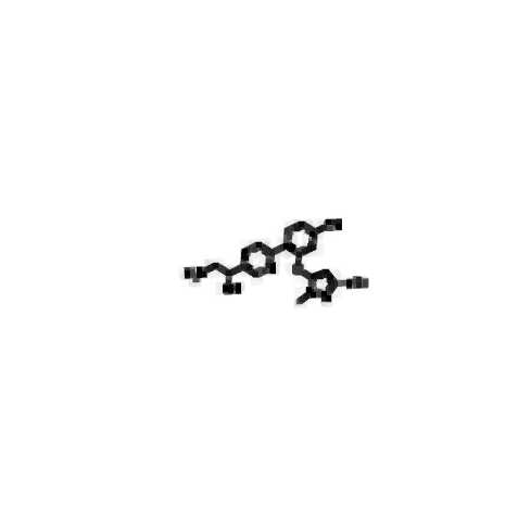 CCCCc1cc(Oc2cc(C#N)ccc2-c2ccc(C(O)CN)cn2)n(C)n1